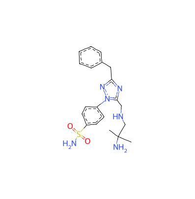 CC(C)(N)CNCc1nc(Cc2ccccc2)nn1-c1ccc(S(N)(=O)=O)cc1